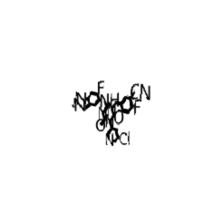 Cn1cc2cc(Nc3nc(=O)n(-c4cncc(Cl)c4)c(=O)n3Cc3ccc(F)c(C#N)c3)c(F)cc2n1